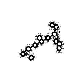 c1ccc(-n2c3ccccc3c3ccc(-c4ccc(-c5ccc(-c6ccc(-c7cc8c(sc9ccc%10ccccc%10c98)c8nc9c%10ccc%11ccccc%11c%10ccc9n78)cc6)c6ccccc56)cc4)cc32)cc1